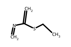 C=NC(=C)SCC